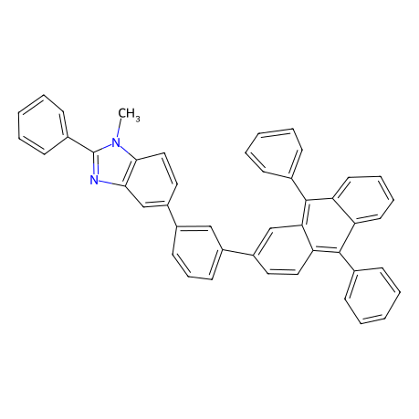 Cn1c(-c2ccccc2)nc2cc(-c3cccc(-c4ccc5c(-c6ccccc6)c6ccccc6c(-c6ccccc6)c5c4)c3)ccc21